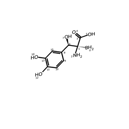 B[C@@](N)(C(=O)O)[C@H](O)c1ccc(O)c(O)c1